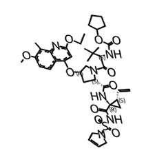 C=C[C@@H]1C[C@]1(NC(=O)[C@@H]1C[C@@H](Oc2cc(OCC)nc3c(C)c(OC)ccc23)CN1C(=O)[C@@H](NC(=O)OC1CCCC1)C(C)(C)C)C(=O)NS(=O)(=O)N1CC=CC1